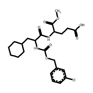 COC(=O)C(CCC(=O)O)NC(=O)C(CC1CCCCC1)NC(=O)OCc1cccc(Cl)c1